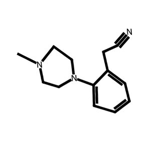 CN1CCN(c2ccccc2CC#N)CC1